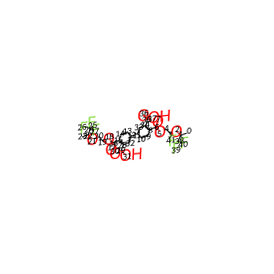 CC(OCCOC(=O)c1ccc(-c2ccc(C(=O)OCCOC(C)C(F)(F)F)c(C(=O)O)c2)cc1C(=O)O)C(F)(F)F